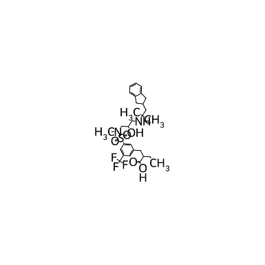 CCC(Cc1cc(C(F)(F)F)cc(S(=O)(=O)N(C)CC(O)CNC(C)(C)CC2Cc3ccccc3C2)c1)C(=O)O